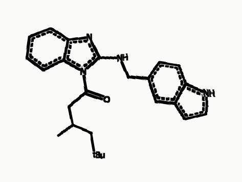 CC(CC(=O)n1c(NCc2ccc3[nH]ccc3c2)nc2ccccc21)CC(C)(C)C